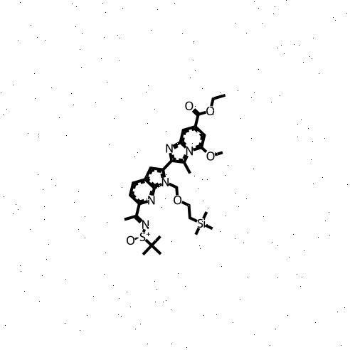 CCOC(=O)c1cc(OC)n2c(C)c(-c3cc4ccc(C(C)=N[S@@+]([O-])C(C)(C)C)nc4n3COCC[Si](C)(C)C)nc2c1